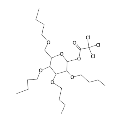 CCCCOCC1OC(OC(=O)C(Cl)(Cl)Cl)C(OCCCC)C(OCCCC)C1OCCCC